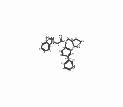 O=C(Cn1nnc2ccccc21)N(CC1CCOC1)c1ccc(-c2cccnc2)cc1